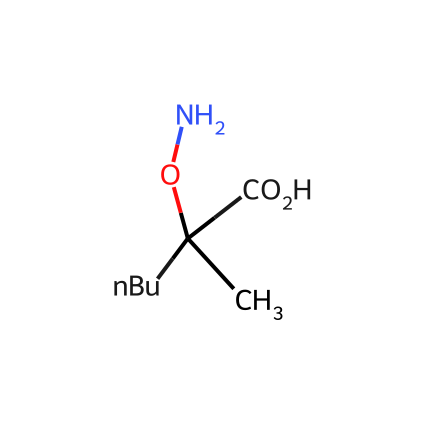 CCCCC(C)(ON)C(=O)O